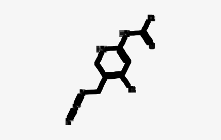 CCC(=O)NC1=CC(CC)=C(CN=[N+]=[N-])CN1